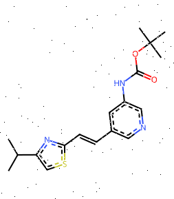 CC(C)c1csc(/C=C/c2cncc(NC(=O)OC(C)(C)C)c2)n1